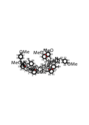 COc1ccc(CN(Cc2ccc(OC)cc2)S(=O)(=O)c2c(S(=O)(=O)N[C@H](C)CN(C[C@@H](C)NS(=O)(=O)c3ccc(I)c(-c4nnn(Cc5ccc(OC)cc5)n4)c3S(=O)(=O)N(Cc3ccc(OC)cc3)Cc3ccc(OC)cc3)C(=O)OCc3ccccc3)ccc(I)c2-c2nnn(Cc3ccc(OC)cc3)n2)cc1